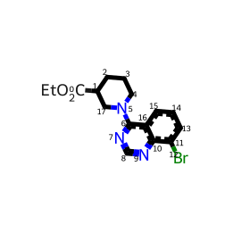 CCOC(=O)C1CCCN(c2ncnc3c(Br)cccc23)C1